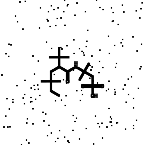 CCC(C)(C)CC(C(=O)NC(C)(C)CS(=O)(=O)O)C(C)(C)C